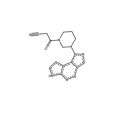 N#CCC(=O)N1CCCC(c2ncn3nnc4[nH]ccc4c23)C1